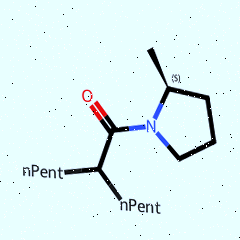 CCCCCC(CCCCC)C(=O)N1CCC[C@@H]1C